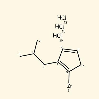 CC(C)CC1=[C]([Zr])CC=C1.Cl.Cl.Cl